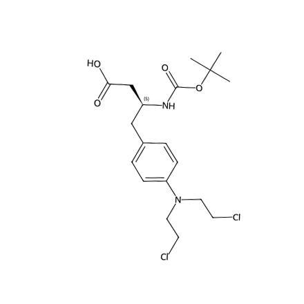 CC(C)(C)OC(=O)N[C@H](CC(=O)O)Cc1ccc(N(CCCl)CCCl)cc1